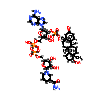 C[C@]12CCC(=O)C[C@@H]1CC[C@@H]1[C@@H]2CC[C@]2(C)[C@@H](O)CC[C@@H]12.NC(=O)c1ccc[n+]([C@@H]2O[C@H](COP(=O)([O-])OP(=O)(O)OC[C@H]3O[C@@H](n4cnc5c(N)ncnc54)[C@H](OP(=O)(O)O)[C@@H]3O)[C@@H](O)[C@H]2O)c1